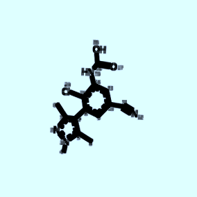 Cc1nn(C)c(C)c1-c1cc(C#N)cc(NC(=O)O)c1Cl